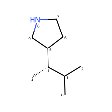 CC(C)[C@H](C)C1CCNC1